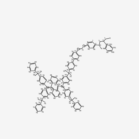 CCC(CC(C)c1ccc(OCOc2ccc(-c3ccc(C(C)(C)c4ccc(N(c5ccc(C(C)(C)c6ccccc6)cc5)c5c6ccccc6c(N(c6ccc(C(C)(C)c7ccccc7)cc6)c6ccc(C(C)(C)c7ccccc7)cc6)c6ccccc56)cc4)cc3)cc2)cc1)c1ccccc1